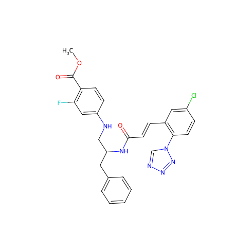 COC(=O)c1ccc(NCC(Cc2ccccc2)NC(=O)C=Cc2cc(Cl)ccc2-n2cnnn2)cc1F